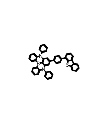 c1ccc(N2c3ccccc3B3c4ccccc4N(c4ccccc4)c4cc(-c5ccc(-c6cccc7c6sc6ccccc67)cc5)cc2c43)cc1